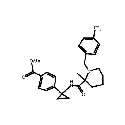 COC(=O)c1ccc(C2(NC(=O)C3(C)CCCCN3Cc3ccc(C(F)(F)F)cc3)CC2)cc1